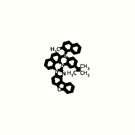 Cc1ccc2ccccc2c1B1c2ccc(C(C)(C)C)cc2-n2c3c1ccc1cccc(c13)n1c3ccc4oc5ccccc5c4c3nc21